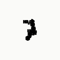 Cc1noc(-c2ccc(-c3ccc(C4(C(=O)O)CC4)cc3)cc2)c1[C@H](O)c1cn(Cc2ccccc2)nn1